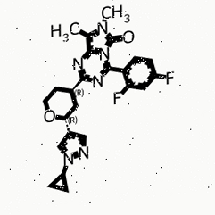 Cc1c2nc([C@@H]3CCO[C@@H](c4cnn(C5CC5)c4)C3)nc(-c3ccc(F)cc3F)n2c(=O)n1C